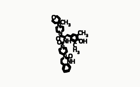 Cc1cc(C[C@@H](NC(=O)N2CCC(N3CCc4ccccc4NC3=O)CC2)C(=O)N2CCN(C3(C)CCOCC3)CC2)cc(C)c1O